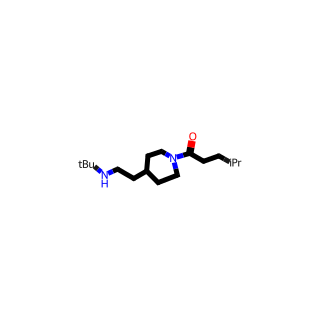 CC(C)CCC(=O)N1CCC(CCNC(C)(C)C)CC1